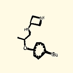 CC(CNC1CNC1)Oc1ccc(C(C)(C)C)cc1